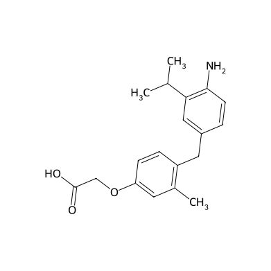 Cc1cc(OCC(=O)O)ccc1Cc1ccc(N)c(C(C)C)c1